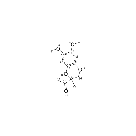 COc1cc2c(cc1OC)OC(C)(C(C)=O)CO2